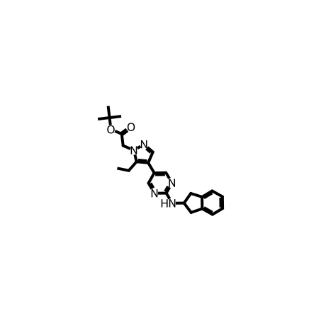 CCc1c(-c2cnc(NC3Cc4ccccc4C3)nc2)cnn1CC(=O)OC(C)(C)C